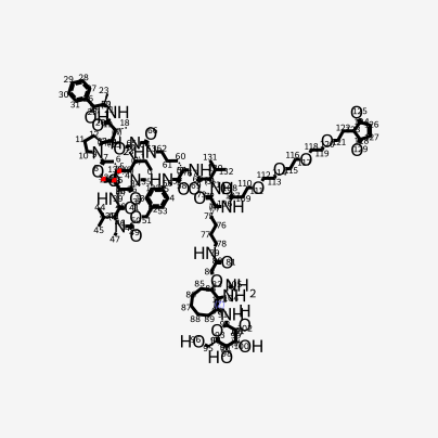 CC[C@H](C)[C@@H]([C@@H](CC(=O)N1CCC[C@H]1[C@H](OC)[C@@H](C)C(=O)N[C@H](C)[C@@H](O)c1ccccc1)OC)N(C)C(=O)[C@@H](NC(=O)[C@H](C(C)C)N(C)C(=O)OCc1ccc(NC(=O)[C@H](CCCNC(N)=O)NC(=O)[C@@H](NC(=O)[C@@H](CCCCNC(=O)COC2CCCCC/C(NC3O[C@H](CO)[C@H](O)[C@H](O)[C@H]3O)=C\2NN)NC(=O)CCOCCOCCOCCOCCC2C(=O)C=CC2=O)C(C)C)cc1)C(C)C